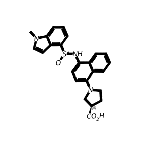 Cn1ccc2c([S+]([O-])Nc3ccc(N4CC[C@@H](C(=O)O)C4)c4ccccc34)cccc21